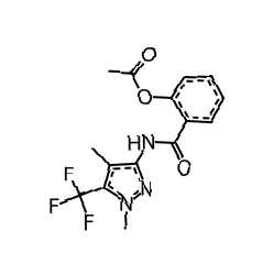 CC(=O)Oc1ccccc1C(=O)Nc1nn(C)c(C(F)(F)F)c1C